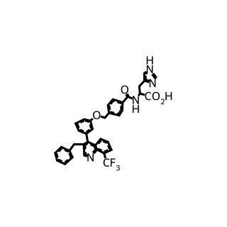 O=C(NC(Cc1c[nH]cn1)C(=O)O)c1ccc(COc2cccc(-c3c(Cc4ccccc4)cnc4c(C(F)(F)F)cccc34)c2)cc1